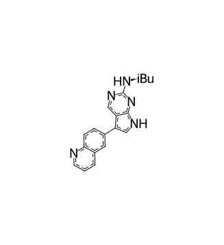 CC[C@H](C)Nc1ncc2c(-c3ccc4ncccc4c3)c[nH]c2n1